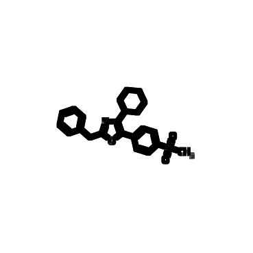 CS(=O)(=O)c1ccc(-c2oc(Cc3ccccc3)nc2C2CCCCC2)cc1